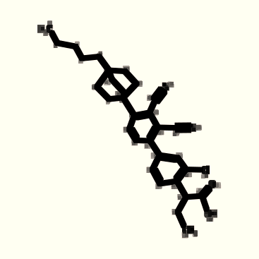 CCCCCC12CCC(c3ccc(-c4ccc(C(CC)C(=O)O)c(Cl)c4)c(C#N)c3C#N)(CC1)CC2